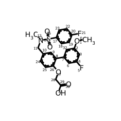 COc1cc(F)cc(-c2cc(CN(C)S(=O)(=O)c3ccc(F)cc3)ccc2OCC(=O)O)c1